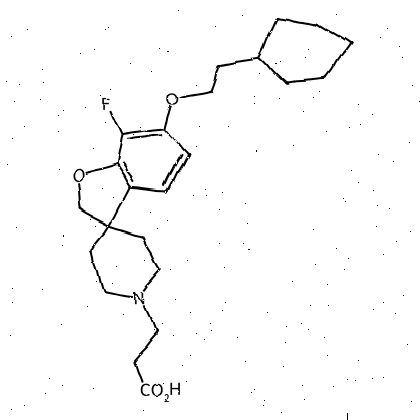 O=C(O)CCN1CCC2(CC1)COc1c2ccc(OCCC2CCCCC2)c1F